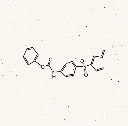 C=C/C=C(\C=C)S(=O)(=O)c1ccc(NC(=O)Oc2ccccc2)cc1